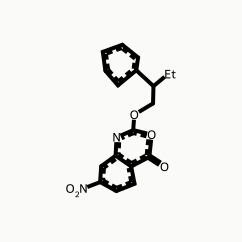 CCC(COc1nc2cc([N+](=O)[O-])ccc2c(=O)o1)c1ccccc1